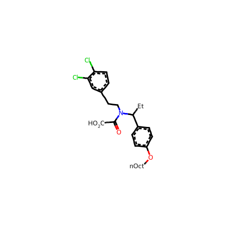 CCCCCCCCOc1ccc(C(CC)N(CCc2ccc(Cl)c(Cl)c2)C(=O)C(=O)O)cc1